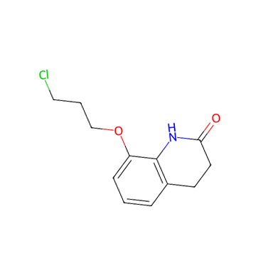 O=C1CCc2cccc(OCCCCl)c2N1